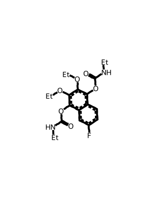 CCNC(=O)Oc1c(OCC)c(OCC)c(OC(=O)NCC)c2cc(F)ccc12